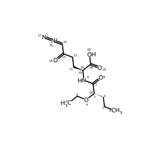 CCC[C@H](OCC)C(=O)N[C@@H](CCC(=O)C=[N+]=[N-])C(=O)O